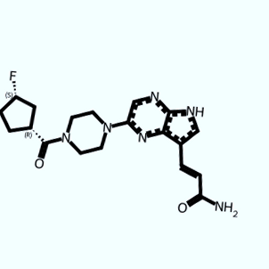 NC(=O)C=Cc1c[nH]c2ncc(N3CCN(C(=O)[C@@H]4CC[C@H](F)C4)CC3)nc12